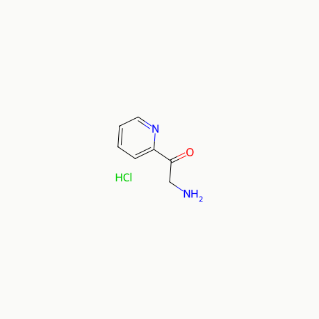 Cl.NCC(=O)c1ccccn1